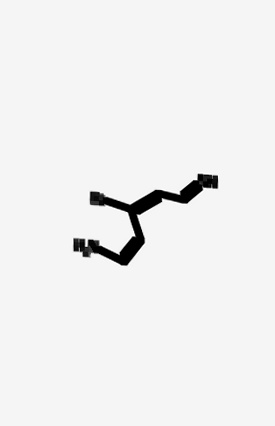 CCC(/C=C\N)=C/C=N